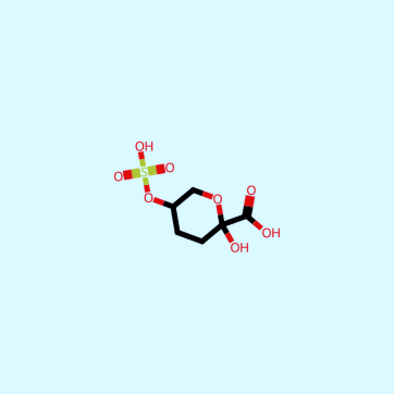 O=C(O)C1(O)CCC(OS(=O)(=O)O)CO1